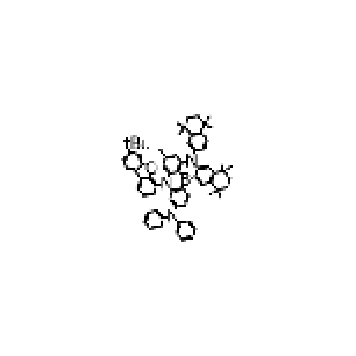 Cc1cc2c3c(c1)N(c1cccc4c1oc1cc(C(C)(C)C)ccc14)c1cc(N(c4ccccc4)c4ccccc4)ccc1B3c1cc3c(cc1N2c1ccc2c(c1)C(C)(C)CCC2(C)C)C(C)(C)CCC3(C)C